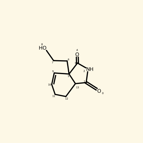 O=C1NC(=O)C2(CCO)C=CCCC12